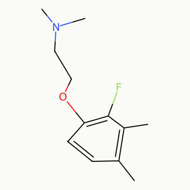 Cc1ccc(OCCN(C)C)c(F)c1C